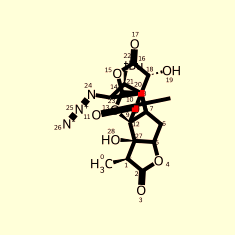 C[C@@H]1C(=O)OC2CC34C5OC(=O)[C@@]3(OC3OC(=O)[C@H](O)C34[C@H](C(C)(C)C)C5N=[N+]=[N-])[C@]21O